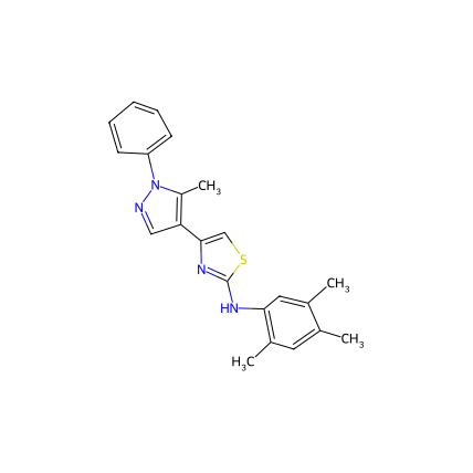 Cc1cc(C)c(Nc2nc(-c3cnn(-c4ccccc4)c3C)cs2)cc1C